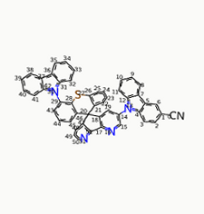 N#Cc1ccc2c(c1)c1ccccc1n2-c1cnc2c(c1)C1(c3ccccc3Sc3c(-n4c5ccccc5c5ccccc54)cccc31)c1cccnc1-2